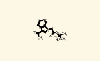 CC(=O)c1cn(CC(=O)OC(C)(C)C)c2cnccc12